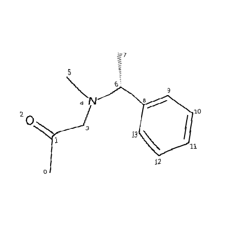 CC(=O)CN(C)[C@H](C)c1ccccc1